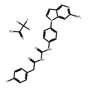 Nc1cc2c(ccn2-c2ccc(NC(=O)NC(=O)Cc3ccc(F)cc3)cc2)cn1.O=C(O)C(F)(F)F